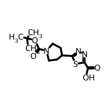 CC(C)(C)OC(=O)N1CCC(c2nnc(C(=O)O)s2)CC1